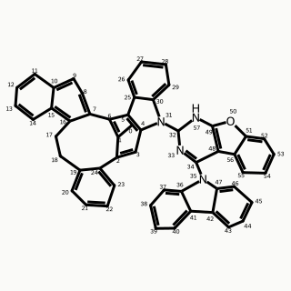 Cc1c2cc3c(c1-c1ccc4ccccc4c1CCc1ccccc1-2)c1ccccc1n3C1N=C(n2c3ccccc3c3ccccc32)c2c(oc3ccccc23)N1